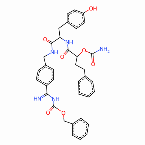 N=C(NC(=O)OCc1ccccc1)c1ccc(CNC(=O)C(Cc2ccc(O)cc2)NC(=O)C(CCc2ccccc2)OC(N)=O)cc1